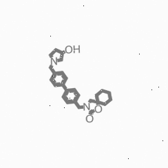 O=C1OC2(CCCCC2)CN1Cc1ccc(-c2ccc(CN3CCC(O)C3)cc2)cc1